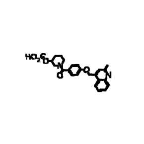 Cc1cc(COc2ccc(C(=O)N3CCCC(OC(=O)O)C3)cc2)c2ccccc2n1